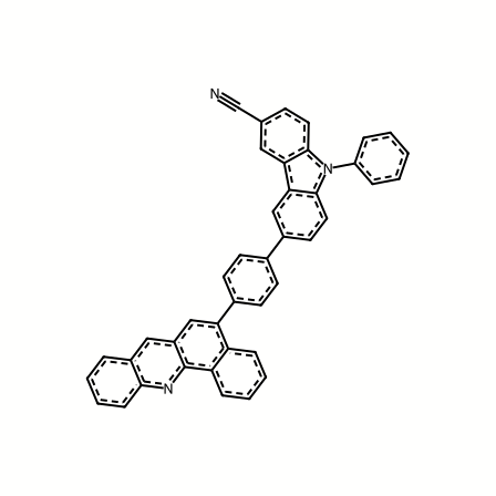 N#Cc1ccc2c(c1)c1cc(-c3ccc(-c4cc5cc6ccccc6nc5c5ccccc45)cc3)ccc1n2-c1ccccc1